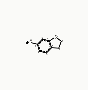 CCCc1ccc2c(c1)SCC2